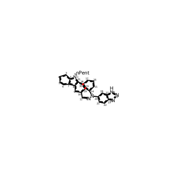 CCCCCn1c2ccccc2c2cc(/C=N\N(c3ccccc3)c3ccc4nn[nH]c4c3)ccc21